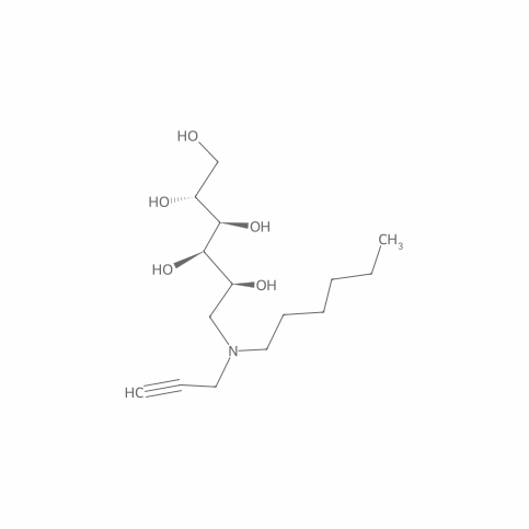 C#CCN(CCCCCC)C[C@H](O)[C@@H](O)[C@H](O)[C@H](O)CO